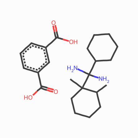 CC1CCCCC1(C)C(N)(N)C1CCCCC1.O=C(O)c1cccc(C(=O)O)c1